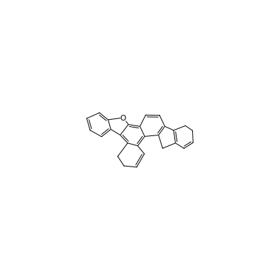 C1=CC2=C(CC1)c1ccc3c(c4c(c5c6ccccc6oc35)CCC=C4)c1C2